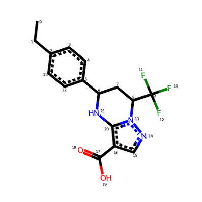 CCc1ccc(C2CC(C(F)(F)F)n3ncc(C(=O)O)c3N2)cc1